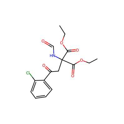 CCOC(=O)C(CC(=O)c1ccccc1Cl)(NC=O)C(=O)OCC